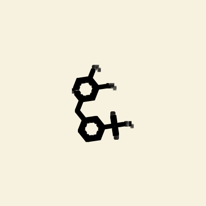 CS(=O)(=O)c1cccc(Cc2cc(N)c(C(F)(F)F)cn2)c1